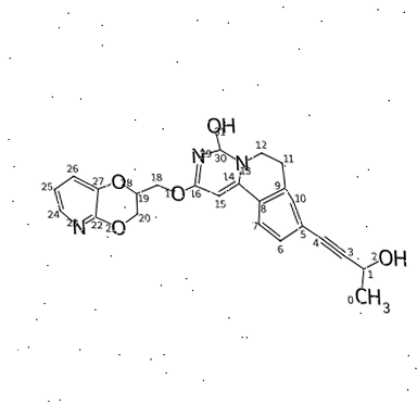 CC(O)C#Cc1ccc2c(c1)CCN1C2=CC(OCC2COc3ncccc3O2)=NC1O